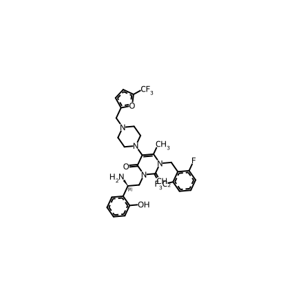 C=C1N(C[C@H](N)c2ccccc2O)C(=O)C(N2CCN(Cc3ccc(C(F)(F)F)o3)CC2)=C(C)N1Cc1c(F)cccc1C(F)(F)F